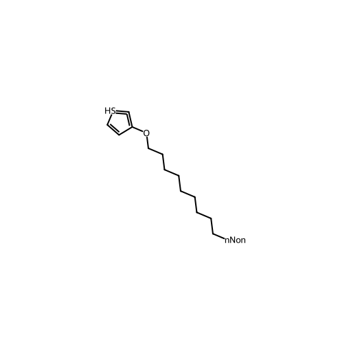 CCCCCCCCCCCCCCCCCCOC1=C=[SH]C=C1